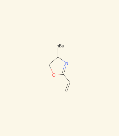 C=CC1=NC(CCCC)CO1